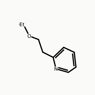 C[CH]OCCc1ccccn1